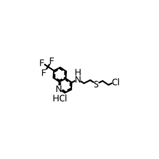 Cl.FC(F)(F)c1ccc2c(NCCSCCCl)ccnc2c1